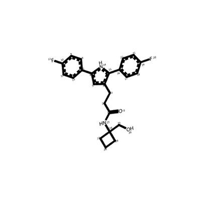 O=C(CCc1cc(-c2ccc(F)cc2)[nH]c1-c1ccc(F)cc1)NC1(CO)CCC1